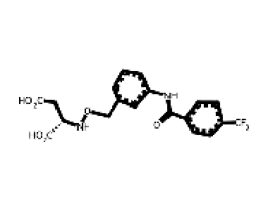 O=C(O)C[C@H](NOCc1cccc(NC(=O)c2ccc(C(F)(F)F)cc2)c1)C(=O)O